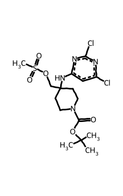 CC(C)(C)OC(=O)N1CCC(COS(C)(=O)=O)(Nc2cc(Cl)nc(Cl)n2)CC1